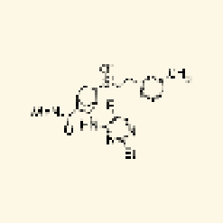 CCc1ncc(F)c(NC2C3CC(CC3[S+]([O-])CCc3cccc(C)c3)C2C(=O)NC)n1